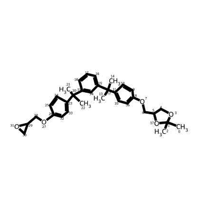 CC1(C)OCC(COc2ccc(C(C)(C)c3cccc(C(C)(C)c4ccc(OCC5CO5)cc4)c3)cc2)O1